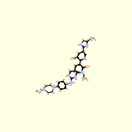 CCn1c(=O)c(-c2ncc(C3=NCC(C)=N3)cc2Cl)cc2cnc(Nc3ccc(N4CCN(C)CC4)cc3)nc21